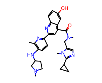 Cc1nc(-c2cc(C(=O)N(C)Cc3cnc(C4CC4)n3C)c3cc(O)ccc3n2)ccc1NC1CCN(C)C1